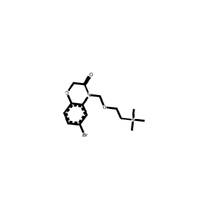 CS(C)(C)CCOCN1C(=O)COc2ccc(Br)cc21